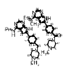 CC(C)Nc1ncnc2[nH]c(-c3ccc(CN4CCN(C)CC4)cc3)cc12.CCN(C)c1ncnc2[nH]c(-c3ccc(C(=O)N4CCN(C)CC4)cc3)cc12